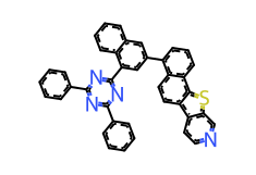 c1ccc(-c2nc(-c3ccccc3)nc(-c3cc(-c4cccc5c4ccc4c6ccncc6sc54)cc4ccccc34)n2)cc1